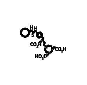 O=C(O)CN1CCN(CCN(CC(=O)O)Cc2ccc(NC(=S)NC3CCCCCCCCC3)cc2)CCN(CC(=O)O)CC1